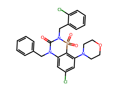 O=C1N(Cc2ccccc2)c2cc(Cl)cc(N3CCOCC3)c2S(=O)(=O)N1Cc1ccccc1Cl